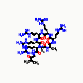 CC(=O)N[C@@H](C)C(=O)N[C@@H](CCCNC(=N)N)C(=O)N[C@@H](CCCNC(=N)N)C(=O)N[C@@H](CCCNC(=N)N)C(=O)N[C@@H](CCCNC(=N)N)C(=O)N[C@@H](CCCNC(=N)N)C(=O)NCC(=O)C(C)C